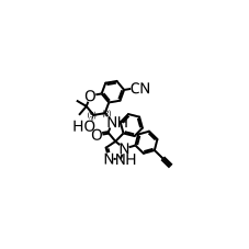 C#Cc1cccc(N2NN=CC2(C(=O)N[C@@H]2c3cc(C#N)ccc3OC(C)(C)[C@H]2O)c2ccccc2)c1